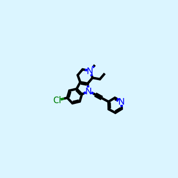 CCC1c2c(c3cc(Cl)ccc3n2C#Cc2cccnc2)CCN1C